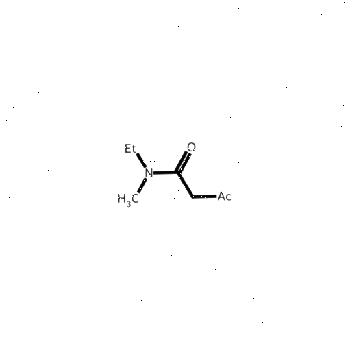 CCN(C)C(=O)CC(C)=O